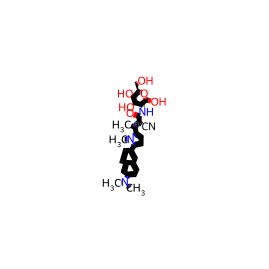 C/C(=C(/C#N)C(=O)N[C@H]1C(O)O[C@H](CO)[C@@H](O)[C@@H]1O)c1ccc(-c2ccc3cc(N(C)C)ccc3c2)n1C